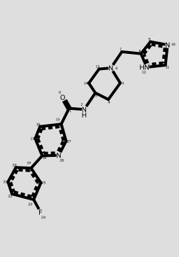 O=C(NC1CCN(Cc2cnc[nH]2)CC1)c1ccc(-c2cccc(F)c2)nc1